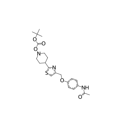 CC(=O)Nc1ccc(OCc2csc(C3CCN(OC(=O)OC(C)(C)C)CC3)n2)cc1